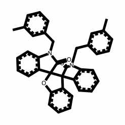 Cc1cccc(CN2C(=O)C3(Oc4ccccc4C34C(=O)N(Cc3cccc(C)c3)c3ccccc34)c3ccccc32)c1